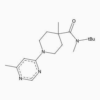 Cc1cc(N2CCC(C)(C(=O)N(C)C(C)(C)C)CC2)ncn1